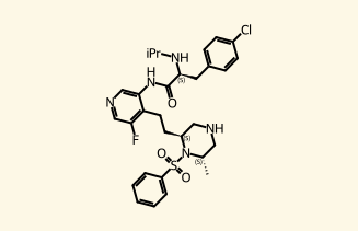 CC(C)N[C@@H](Cc1ccc(Cl)cc1)C(=O)Nc1cncc(F)c1CC[C@H]1CNC[C@H](C)N1S(=O)(=O)c1ccccc1